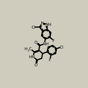 CC1=C(C(=O)Nc2cc3c(Cl)n[nH]c3cc2F)C(c2ccc(Cl)cc2F)CC(=O)N1